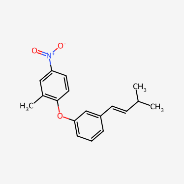 Cc1cc([N+](=O)[O-])ccc1Oc1cccc(C=CC(C)C)c1